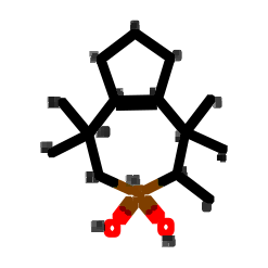 CC1C(C)(C)C2=C(CCC2)C(C)(C)CS1(=O)=O